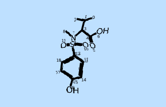 CC(C)C(C(=O)O)N(C)S(=O)(=O)c1ccc(O)cc1